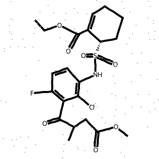 CCOC(=O)C1=CCCC[C@@H]1S(=O)(=O)Nc1ccc(F)c(C(=O)C(C)CC(=O)OC)c1Cl